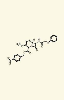 COC1=CS[C@@H]2[C@H](NC(=O)COc3ccccc3)C(=O)N2C1C(=O)OCc1ccc([N+](=O)[O-])cc1